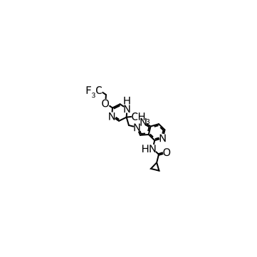 CC1(Cn2cc3c(NC(=O)C4CC4)nccc3n2)C=NC(OCC(F)(F)F)=CN1